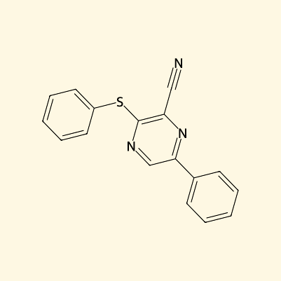 N#Cc1nc(-c2ccccc2)cnc1Sc1ccccc1